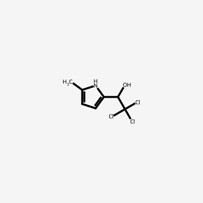 Cc1ccc(C(O)C(Cl)(Cl)Cl)[nH]1